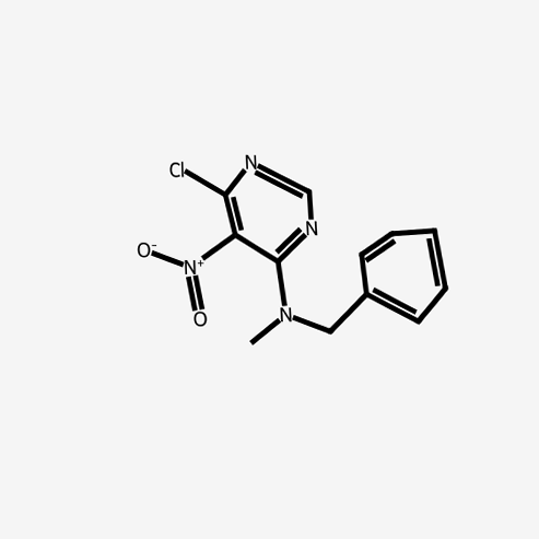 CN(Cc1ccccc1)c1ncnc(Cl)c1[N+](=O)[O-]